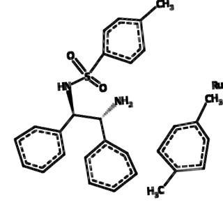 Cc1ccc(C)cc1.Cc1ccc(S(=O)(=O)N[C@H](c2ccccc2)[C@H](N)c2ccccc2)cc1.[Ru]